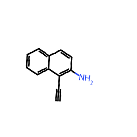 C#Cc1c(N)ccc2ccccc12